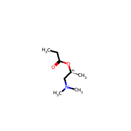 CCC(=O)O[C@H](C)CN(C)C